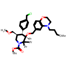 COCCCN1CCOc2ccc(CO[C@]3(C(C)C)[C@@H](c4ccc(CCl)cc4)[C@H](CO[SiH3])CN(C(=O)OC(C)(C)C)C3(C(C)C)C(C)C)cc21